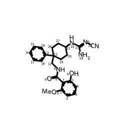 COc1cccc(O)c1C(=O)NCC1(c2ccccc2)CCC(N/C(N)=N/C#N)CC1